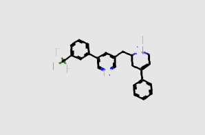 FC(F)(F)c1cccc(-c2cncc(CC3CC(c4ccccc4)=CCN3)c2)c1